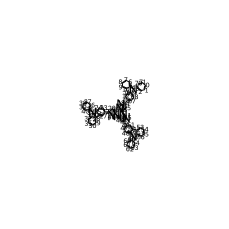 c1ccc(-n2c3ccccc3c3cc(-c4cc5n(n4)c4cc(-c6ccc7c(c6)c6ccccc6n7-c6ccccc6)nn4c4cc(-c6ccc7c(c6)c6ccccc6n7-c6ccccc6)nn54)ccc32)cc1